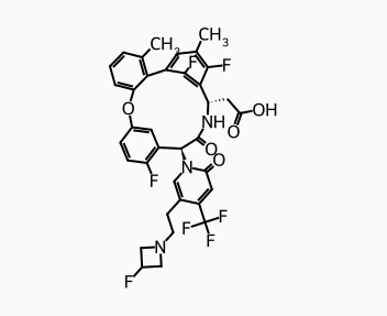 Cc1cc2c(F)c(c1F)[C@H](CC(=O)O)NC(=O)[C@@H](n1cc(CCN3CC(F)C3)c(C(F)(F)F)cc1=O)c1cc(ccc1F)Oc1cccc(C)c1-2